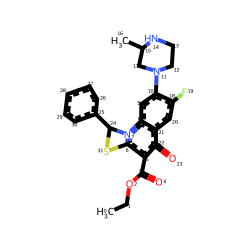 CCOC(=O)c1c2n(c3cc(N4CCNC(C)C4)c(F)cc3c1=O)C(c1ccccc1)S2